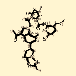 COCc1ccc(Br)nc1NC(=O)[C@@H]1C[C@@]2(C)C[C@H]2N1C(=O)Cn1cc(C(C)=O)c2cc(-c3ccc4nc(C)nn4c3)cc(C)c21